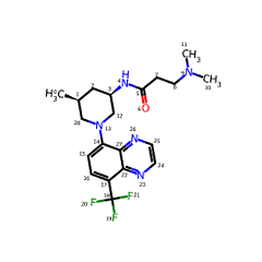 C[C@H]1C[C@@H](NC(=O)CCN(C)C)CN(c2ccc(C(F)(F)F)c3nccnc23)C1